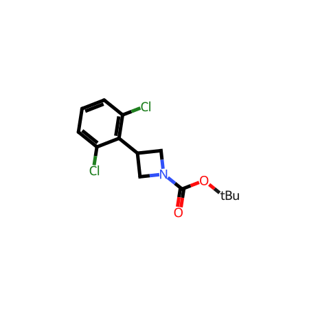 CC(C)(C)OC(=O)N1CC(c2c(Cl)cccc2Cl)C1